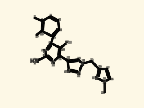 Cc1cccc(-c2nc(N)nc(-c3cn(Cc4ccn(C)n4)nn3)c2F)c1C